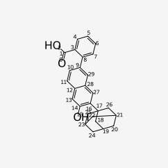 O=C(O)c1ccccc1-c1ccc2cc(O)c(C34CC5CC(CC(C5)C3)C4)cc2c1